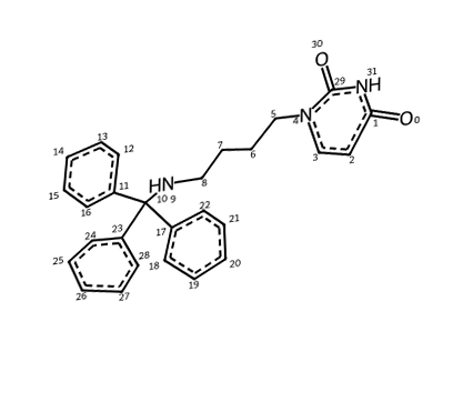 O=c1ccn(CCCCNC(c2ccccc2)(c2ccccc2)c2ccccc2)c(=O)[nH]1